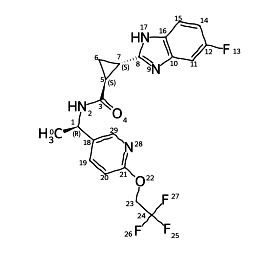 C[C@@H](NC(=O)[C@H]1C[C@@H]1c1nc2cc(F)ccc2[nH]1)c1ccc(OCC(F)(F)F)nc1